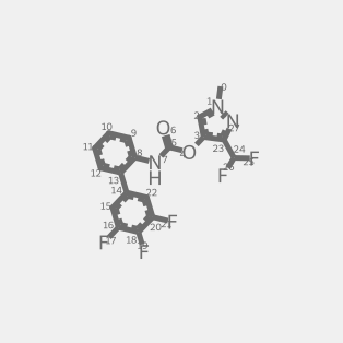 Cn1cc(OC(=O)Nc2ccccc2-c2cc(F)c(F)c(F)c2)c(C(F)F)n1